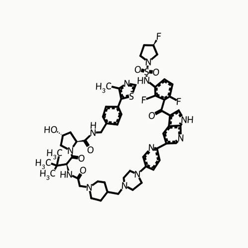 Cc1ncsc1-c1ccc(CNC(=O)[C@@H]2C[C@@H](O)CN2C(=O)[C@@H](NC(=O)CN2CCC(CN3CCN(c4ccc(-c5cnc6[nH]cc(C(=O)c7c(F)ccc(NS(=O)(=O)N8CC[C@@H](F)C8)c7F)c6c5)nc4)CC3)CC2)C(C)(C)C)cc1